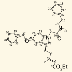 CCOC(=O)/C=C(\C)CCc1cn(CC(=O)N(C)CCc2ccccc2)c2ccc(OCc3ccccc3)cc12